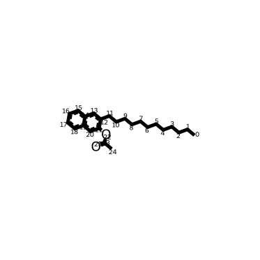 CCCCCCCCCCCCc1cc2ccccc2cc1OC(C)=O